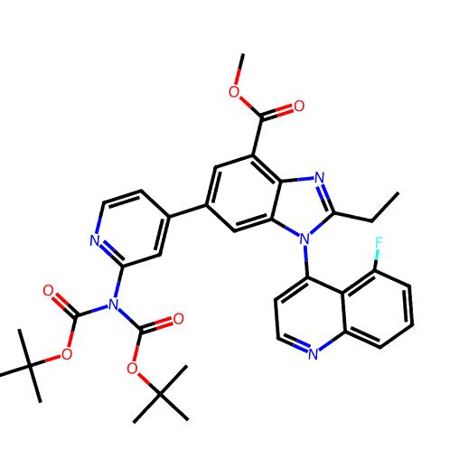 CCc1nc2c(C(=O)OC)cc(-c3ccnc(N(C(=O)OC(C)(C)C)C(=O)OC(C)(C)C)c3)cc2n1-c1ccnc2cccc(F)c12